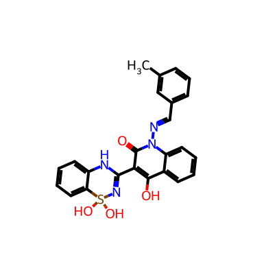 Cc1cccc(C=Nn2c(=O)c(C3=NS(O)(O)c4ccccc4N3)c(O)c3ccccc32)c1